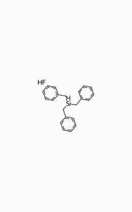 F.c1ccc(C[SiH](Cc2ccccc2)Cc2ccccc2)cc1